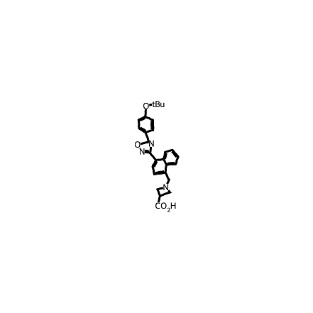 CC(C)(C)Oc1ccc(-c2nc(-c3ccc(CN4CC(C(=O)O)C4)c4ccccc34)no2)cc1